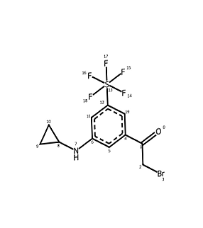 O=C(CBr)c1cc(NC2CC2)cc(S(F)(F)(F)(F)F)c1